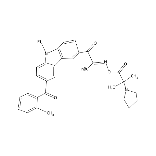 CCCC/C(=N\OC(=O)C(C)(C)N1CCCC1)C(=O)c1ccc2c(c1)c1cc(C(=O)c3ccccc3C)ccc1n2CC